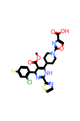 COC(=O)C1=C(C2CCN(c3nc(C(=O)O)co3)CC2)NC(c2nccs2)=NC1c1ccc(F)cc1Cl